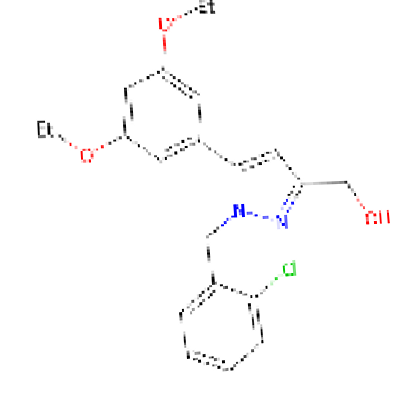 CCOc1cc(OCC)cc(-c2cc(CO)nn2Cc2ccccc2Cl)c1